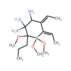 CC=C1C(=CC)[Si](OC)(OC)C(CCC)(OC)C(N)(N)C1N